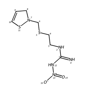 N=C(NCCSCN1CC=CS1)N[N+](=O)[O-]